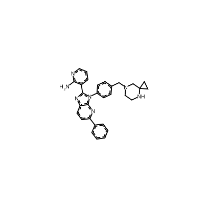 Nc1ncccc1-c1nc2ccc(-c3ccccc3)nc2n1-c1ccc(CN2CCNC3(CC3)C2)cc1